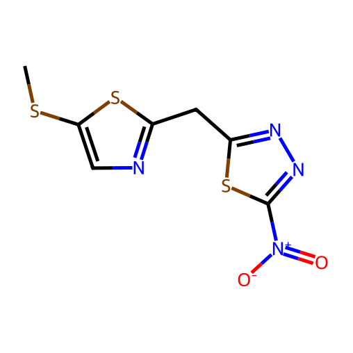 CSc1cnc(Cc2nnc([N+](=O)[O-])s2)s1